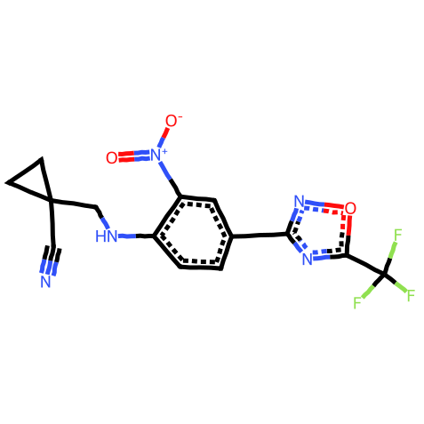 N#CC1(CNc2ccc(-c3noc(C(F)(F)F)n3)cc2[N+](=O)[O-])CC1